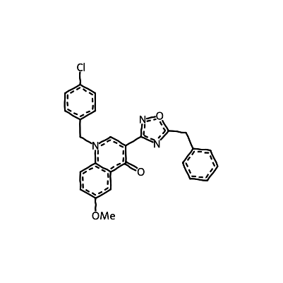 COc1ccc2c(c1)c(=O)c(-c1noc(Cc3ccccc3)n1)cn2Cc1ccc(Cl)cc1